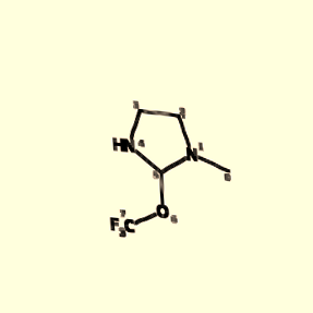 CN1[CH]CNC1OC(F)(F)F